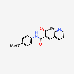 COc1ccc(NC(=O)C(=Cc2cccnc2)C(=O)C(C)C)cc1